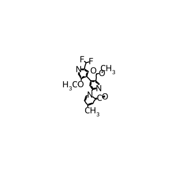 COC(=O)c1cnc(N2C=CC(C)=CC2=C=O)cc1-c1cc(C(F)F)ncc1OC